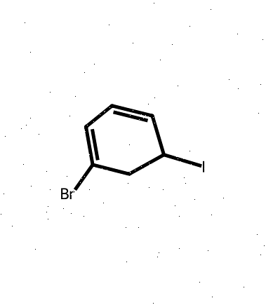 BrC1=CC=CC(I)C1